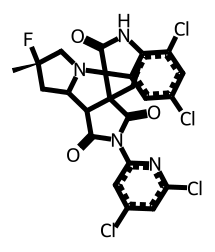 CCC12C(=O)N(c3cc(Cl)cc(Cl)n3)C(=O)C1C1C[C@](C)(F)CN1C21C(=O)Nc2c(Cl)cc(Cl)cc21